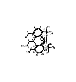 CCCC(c1c(CC)ccc(C(C)(C)C)c1O)c1c(CC)ccc(C(C)(C)C)c1O